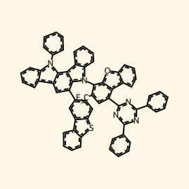 FC(F)(F)c1cc(-c2nc(-c3ccccc3)nc(-c3ccccc3)n2)c2c(oc3ccccc32)c1-n1c2ccccc2c2c1c(-c1ccc3sc4ccccc4c3c1)cc1c3ccccc3n(-c3ccccc3)c12